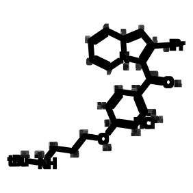 CC(C)c1cc2ccccn2c1C(=O)c1ccc(OCCCNC(C)(C)C)cc1.Cl